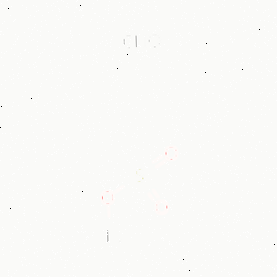 CCOS(=O)(=O)CCC[C]=O